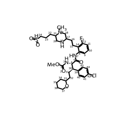 COC(=O)N[C@H](C(=O)Nc1cccc(F)c1CCC1CN(C)C(CCC[SH](=O)=O)CN1)[C@H](CCC1CCCCO1)c1ccc(Cl)cc1